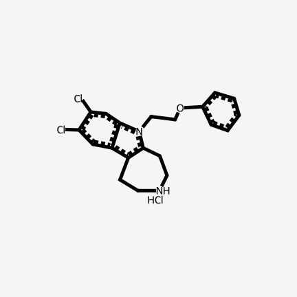 Cl.Clc1cc2c3c(n(CCOc4ccccc4)c2cc1Cl)CCNCC3